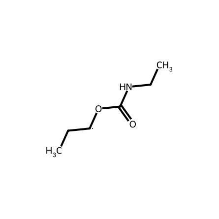 CC[CH]OC(=O)NCC